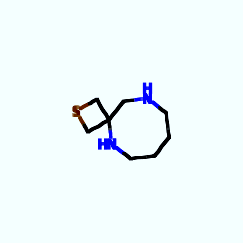 C1CCNC2(CNC1)CSC2